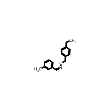 CCc1ccc(CO/N=[C]\c2cccc(C)c2)cc1